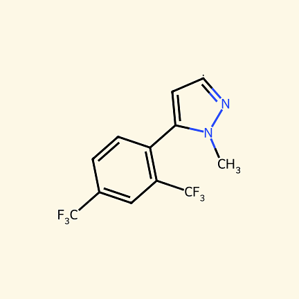 Cn1n[c]cc1-c1ccc(C(F)(F)F)cc1C(F)(F)F